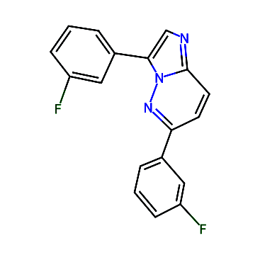 Fc1cccc(-c2ccc3ncc(-c4cccc(F)c4)n3n2)c1